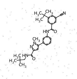 Cn1nc(C(=O)NCC(C)(C)C)cc1-c1cccc(NC(=O)c2cc(C#N)cc(C(C)(C)C)c2)c1